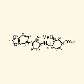 COc1ccc(CNc2ncc(-c3ccc4c(c3)OCO4)n2C)c(OC)c1